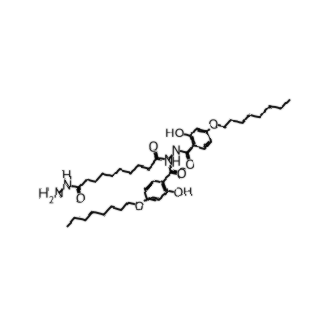 CCCCCCCCOc1ccc(C(=O)NN(C(=O)CCCCCCCCC(=O)NN)C(=O)c2ccc(OCCCCCCCC)cc2O)c(O)c1